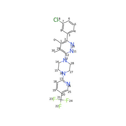 Cc1c(-c2cccc(Cl)c2)nnc(N2CCN(c3ccc(C(F)(F)F)cn3)CC2)c1C